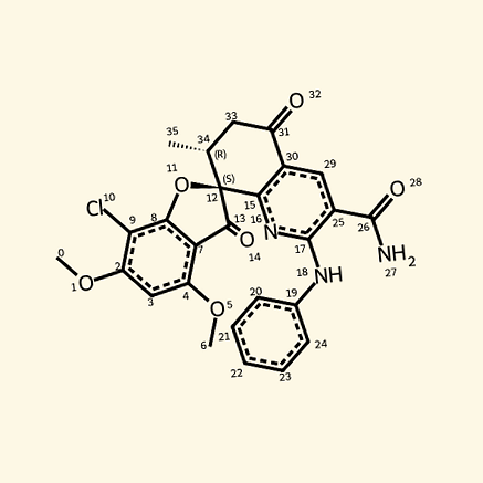 COc1cc(OC)c2c(c1Cl)O[C@]1(C2=O)c2nc(Nc3ccccc3)c(C(N)=O)cc2C(=O)C[C@H]1C